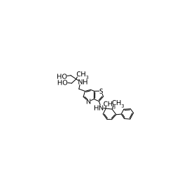 CC1C(c2ccccc2)=CC=CC1(C)Nc1csc2cc(CNC(C)(CO)CO)cnc12